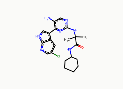 CC(C)(Nc1ncc(N)c(-c2c[nH]c3ncc(Cl)cc23)n1)C(=O)NC1CCCCC1